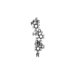 Cc1ccc2c(c1NC(=O)Cc1ccc(C(F)(F)F)c(F)c1)CCN(S(=O)(=O)c1ccc(C#N)cc1Cl)C2